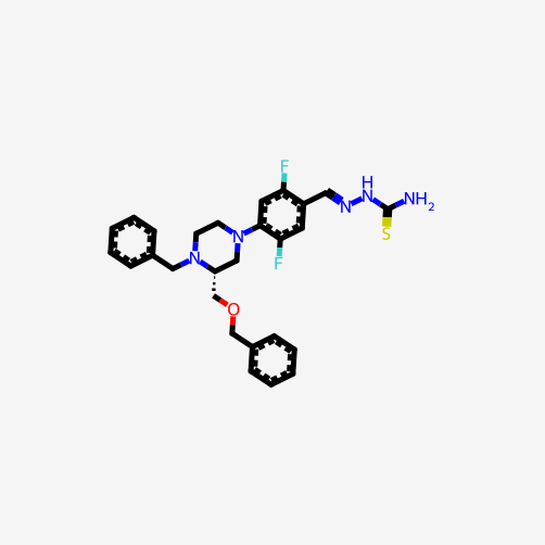 NC(=S)NN=Cc1cc(F)c(N2CCN(Cc3ccccc3)[C@@H](COCc3ccccc3)C2)cc1F